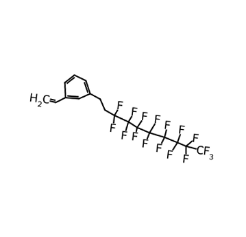 C=Cc1cccc(CCC(F)(F)C(F)(F)C(F)(F)C(F)(F)C(F)(F)C(F)(F)C(F)(F)C(F)(F)F)c1